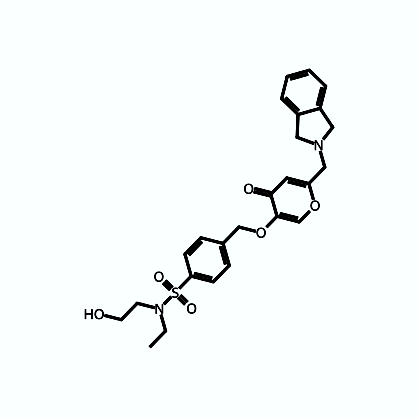 CCN(CCO)S(=O)(=O)c1ccc(COc2coc(CN3Cc4ccccc4C3)cc2=O)cc1